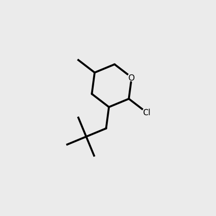 CC1COC(Cl)C(CC(C)(C)C)C1